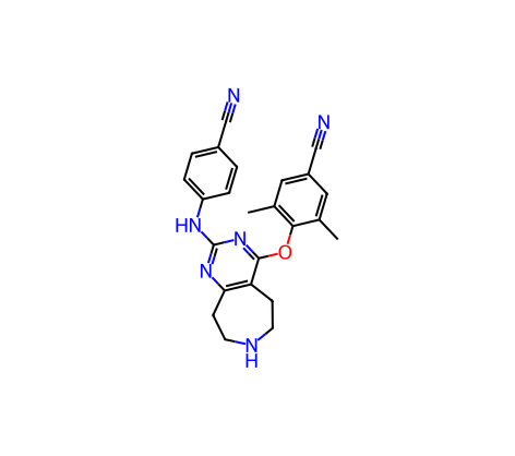 Cc1cc(C#N)cc(C)c1Oc1nc(Nc2ccc(C#N)cc2)nc2c1CCNCC2